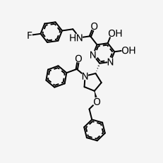 O=C(NCc1ccc(F)cc1)c1nc([C@@H]2C[C@@H](OCc3ccccc3)CN2C(=O)c2ccccc2)nc(O)c1O